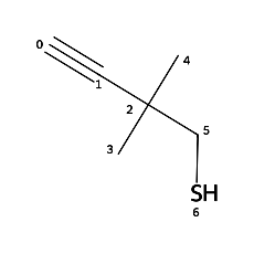 C#CC(C)(C)CS